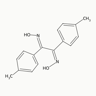 Cc1ccc(C(=NO)C(=NO)c2ccc(C)cc2)cc1